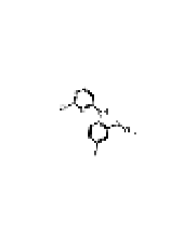 COc1cc(F)ccc1Nc1ccnc(Cl)n1